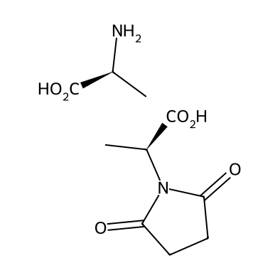 C[C@@H](C(=O)O)N1C(=O)CCC1=O.C[C@H](N)C(=O)O